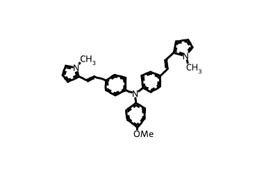 COc1ccc(N(c2ccc(/C=C/c3cccn3C)cc2)c2ccc(/C=C/c3cccn3C)cc2)cc1